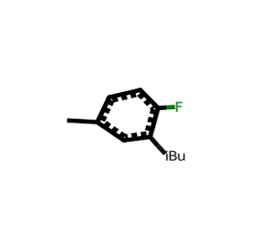 CCC(C)c1cc(C)ccc1F